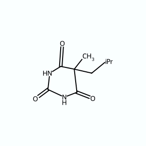 CC(C)CC1(C)C(=O)NC(=O)NC1=O